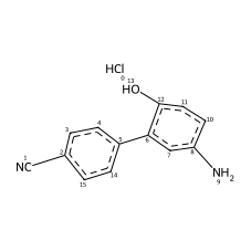 Cl.N#Cc1ccc(-c2cc(N)ccc2O)cc1